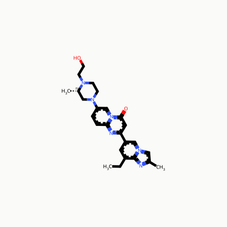 CCc1cc(-c2cc(=O)n3cc(N4CCN(CCO)[C@@H](C)C4)ccc3n2)cn2cc(C)nc12